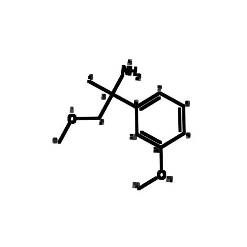 COCC(C)(N)c1cccc(OC)c1